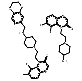 NC1CCN(CCn2c(=O)cnc3ccc(F)c(F)c32)CC1.O=c1cnc2ccc(F)c(F)c2n1CCN1CCC(NCc2cc3c(cn2)OCCO3)CC1